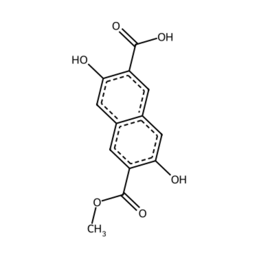 COC(=O)c1cc2cc(O)c(C(=O)O)cc2cc1O